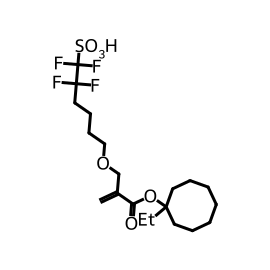 C=C(COCCCCC(F)(F)C(F)(F)S(=O)(=O)O)C(=O)OC1(CC)CCCCCCC1